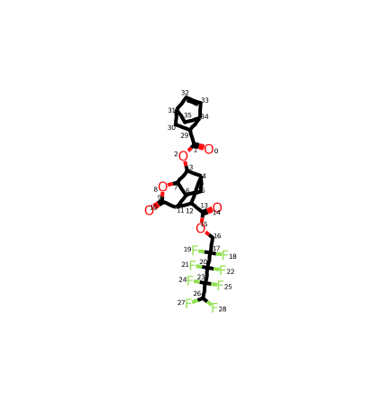 O=C(OC1C2CC3C1OC(=O)C3C2C(=O)OCC(F)(F)C(F)(F)C(F)(F)C(F)F)C1CC2C=CC1C2